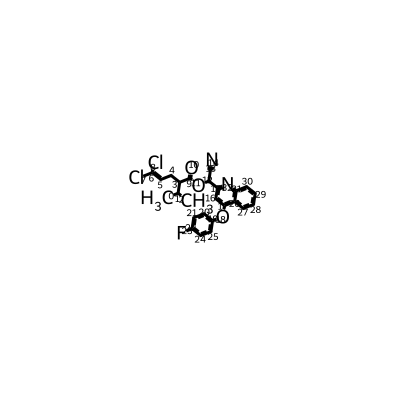 CC(C)C(CC=C(Cl)Cl)C(=O)OC(C#N)c1cc(Oc2ccc(F)cc2)c2ccccc2n1